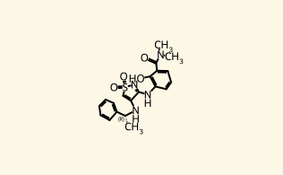 C[C@@H](NC1=CS(=O)(=O)N=C1Nc1cccc(C(=O)N(C)C)c1O)c1ccccc1